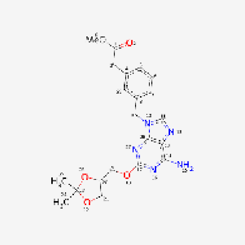 COC(=O)Cc1cccc(Cn2cnc3c(N)nc(OCC4COC(C)(C)O4)nc32)c1